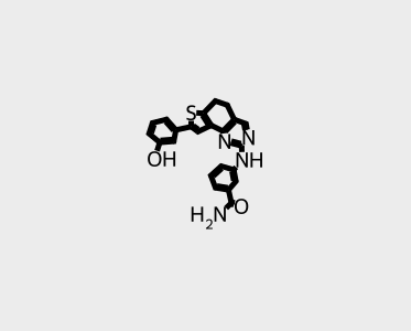 NC(=O)c1cccc(Nc2ncc3c(n2)-c2cc(-c4cccc(O)c4)sc2CC3)c1